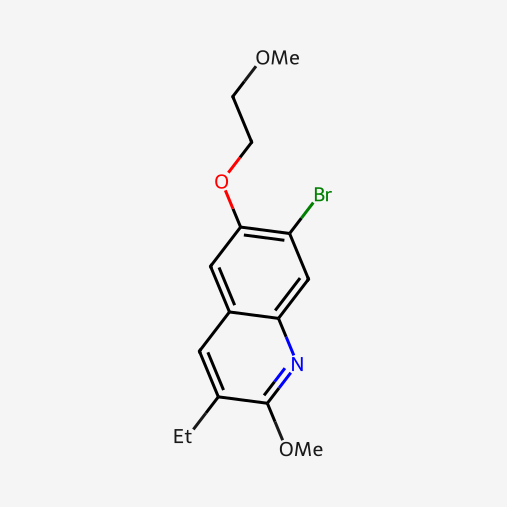 CCc1cc2cc(OCCOC)c(Br)cc2nc1OC